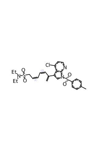 C=C(/C=C\C=C/CS(=O)(=O)N(CC)CC)c1cn(S(=O)(=O)c2ccc(C)cc2)c2nccc(Cl)c12